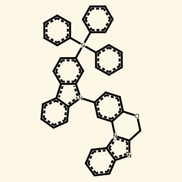 c1ccc([Si](c2ccccc2)(c2ccccc2)c2ccc3c4ccccc4n(-c4ccc5c(c4)-n4c(nc6ccccc64)CO5)c3c2)cc1